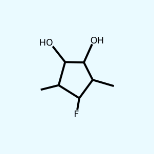 CC1C(O)C(O)C(C)C1F